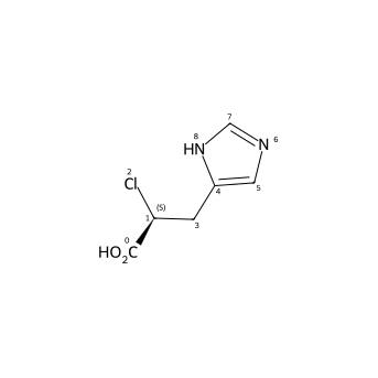 O=C(O)[C@@H](Cl)Cc1cnc[nH]1